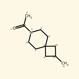 CC(=O)N1CCC2(CC1)CC(C)C2